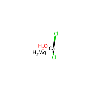 O.[Cl][Ca][Cl].[MgH2]